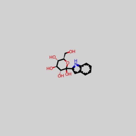 OC[C@H]1OC(O)(c2cc3ccccc3[nH]2)[C@H](O)[C@@H](O)[C@@H]1O